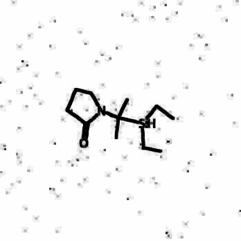 CC[SiH](CC)C(C)(C)N1CCCC1=O